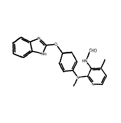 Cc1ccnc(N(C)C2=CCC(Oc3nc4ccccc4[nH]3)C=C2)c1NC=O